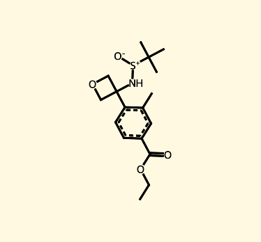 CCOC(=O)c1ccc(C2(N[S+]([O-])C(C)(C)C)COC2)c(C)c1